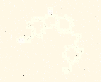 Nc1ccc(Oc2ccc3[nH]c4cnc(C(=O)O)cc4c3c2)nc1